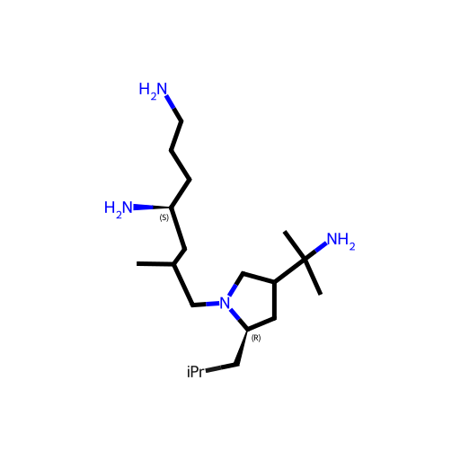 CC(C)C[C@@H]1CC(C(C)(C)N)CN1CC(C)C[C@@H](N)CCCN